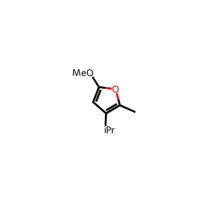 COc1cc(C(C)C)c(C)o1